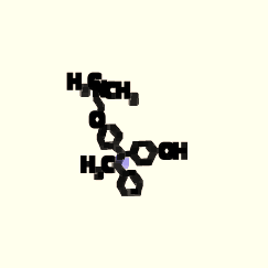 C/C(=C(/c1ccc(O)cc1)c1ccc(OCCN(C)C)cc1)c1ccccc1